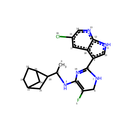 CC(NC1=C(F)CNC(c2c[nH]c3ncc(Cl)cc23)=N1)C1CC2CCC1C2